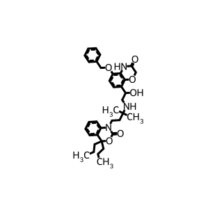 CCCC1(CCC)OC(=O)N(CCC(C)(C)NCC(O)c2ccc(OCc3ccccc3)c3c2OCC(=O)N3)c2ccccc21